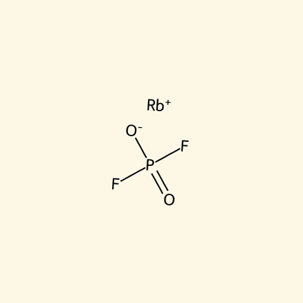 O=P([O-])(F)F.[Rb+]